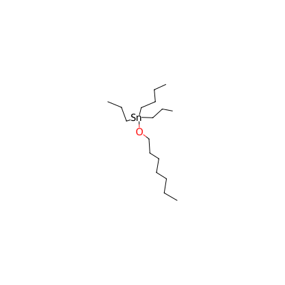 CCCCCCC[O][Sn]([CH2]CC)([CH2]CC)[CH2]CCC